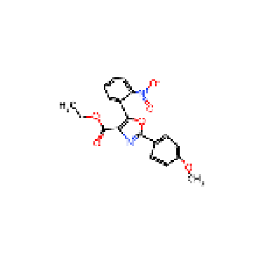 CCOC(=O)c1nc(-c2ccc(OC)cc2)oc1-c1ccccc1[N+](=O)[O-]